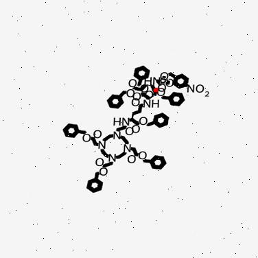 O=C(CC[C@H](NC(=O)CN1CCN(CC(=O)OCc2ccccc2)CCN(CC(=O)OCc2ccccc2)CCN(CC(=O)OCc2ccccc2)CC1)C(=O)OCc1ccccc1)N[C@@H](CCOP(=O)(N[C@@H](CCC(=O)OCc1ccccc1)C(=O)OCc1ccccc1)OCc1ccc([N+](=O)[O-])cc1)C(=O)OCc1ccccc1